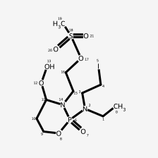 CCN(CCI)P1(=O)OCCC(OO)N1CCOS(C)(=O)=O